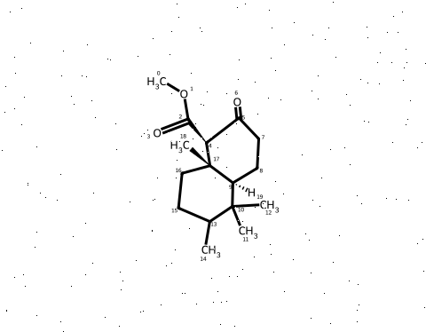 COC(=O)[C@H]1C(=O)CC[C@H]2C(C)(C)C(C)CC[C@]12C